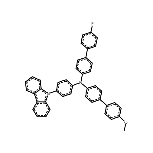 COc1ccc(-c2ccc(N(c3ccc(-c4ccc(F)cc4)cc3)c3ccc(-n4c5ccccc5c5ccccc54)cc3)cc2)cc1